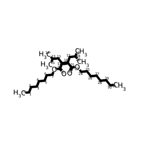 CCCCCCCCOC(=O)/C(CC(C)C)=C(/CC(C)C)C(=O)OCCCCCCCC